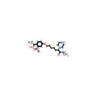 CNC(=O)C(CCCCCOc1ccc(C(C)O)c([N+](=O)[O-])c1)N1CCNCC1